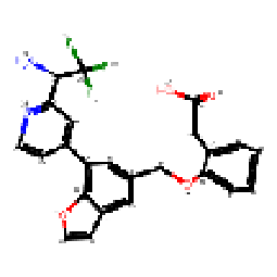 N[C@H](c1cc(-c2cc(COc3ccccc3CC(=O)O)cc3ccoc23)ccn1)C(F)(F)F